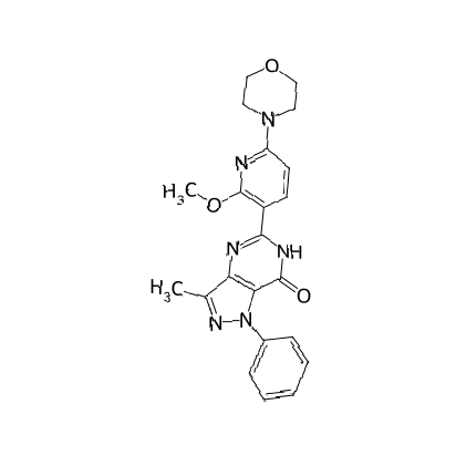 COc1nc(N2CCOCC2)ccc1-c1nc2c(C)nn(-c3ccccc3)c2c(=O)[nH]1